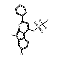 Cn1c2cc(Cl)ccc2c2c(OS(=O)(=O)C(F)(F)F)nc(-c3ccccc3)nc21